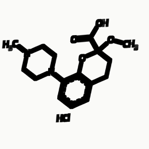 COC1(C(=O)O)CCc2cccc(N3CCN(C)CC3)c2O1.Cl